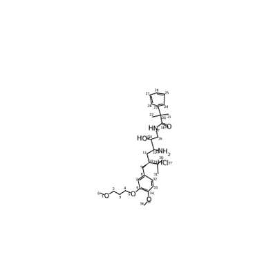 COCCCOc1cc(C[C@@H](C[C@H](N)[C@@H](O)CNC(=O)C(C)(C)c2ccccc2)C(C)C)ccc1OC.Cl